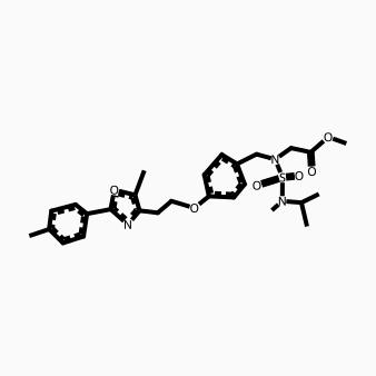 COC(=O)CN(Cc1ccc(OCCc2nc(-c3ccc(C)cc3)oc2C)cc1)S(=O)(=O)N(C)C(C)C